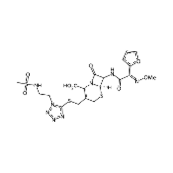 CO/N=C(/C(=O)NC1C(=O)N2C(C(=O)O)=C(CSc3nnnn3CCNS(C)(=O)=O)CS[C@H]12)c1ccco1